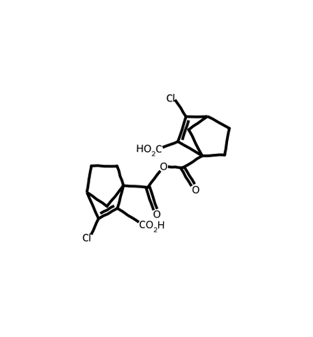 O=C(O)C1=C(Cl)C2CCC1(C(=O)OC(=O)C13CCC(C1)C(Cl)=C3C(=O)O)C2